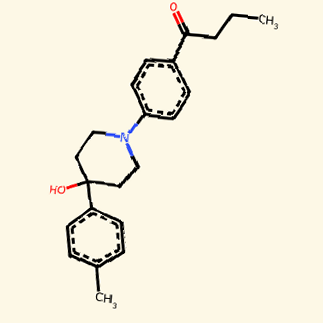 CCCC(=O)c1ccc(N2CCC(O)(c3ccc(C)cc3)CC2)cc1